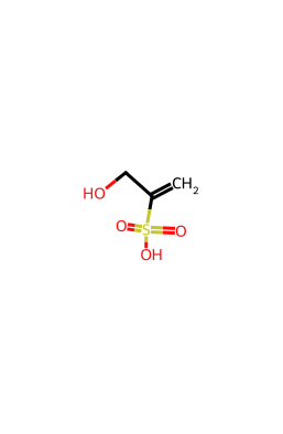 C=C(CO)S(=O)(=O)O